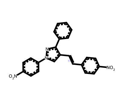 O=[N+]([O-])c1ccc(/C=C/c2cn(-c3ccc([N+](=O)[O-])cc3)nc2-c2ccccc2)cc1